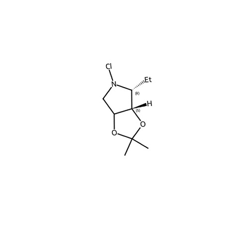 CC[C@@H]1[C@@H]2OC(C)(C)OC2CN1Cl